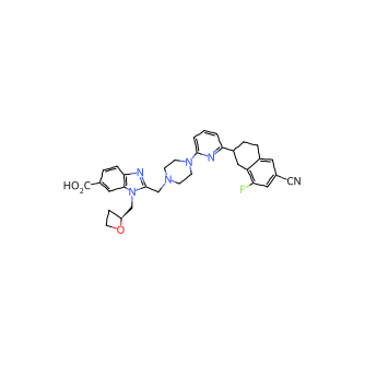 N#Cc1cc(F)c2c(c1)CCC(c1cccc(N3CCN(Cc4nc5ccc(C(=O)O)cc5n4C[C@@H]4CCO4)CC3)n1)C2